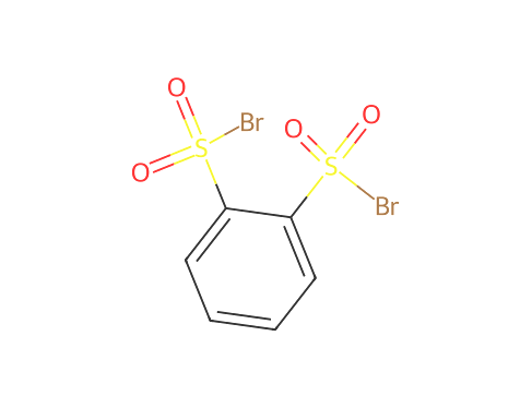 O=S(=O)(Br)c1ccccc1S(=O)(=O)Br